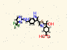 CC(O)(c1ncc(-c2c[nH]c3cc(CNc4nccc(C(F)(F)F)n4)ccc23)s1)C1CCC(C(=O)O)CC1